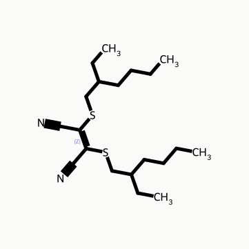 CCCCC(CC)CS/C(C#N)=C(/C#N)SCC(CC)CCCC